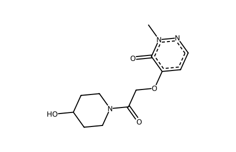 Cn1nccc(OCC(=O)N2CCC(O)CC2)c1=O